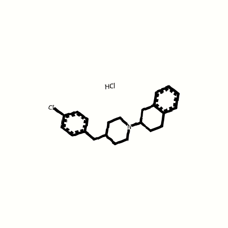 Cl.Clc1ccc(CC2CCN(C3CCc4ccccc4C3)CC2)cc1